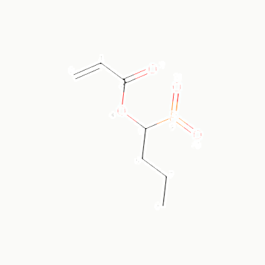 C=CC(=O)OC(CCC)P(=O)=O